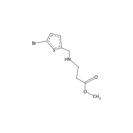 COC(=O)CCNCc1ccc(Br)s1